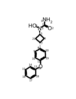 NC(=O)N(O)[C@H]1C[C@H](c2ccc(Oc3ccccc3)cc2)C1